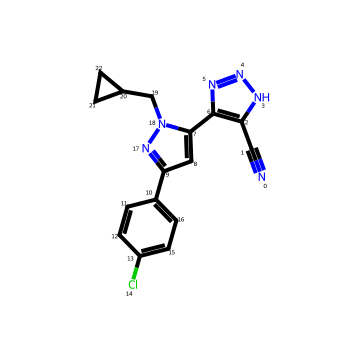 N#Cc1[nH]nnc1-c1cc(-c2ccc(Cl)cc2)nn1CC1CC1